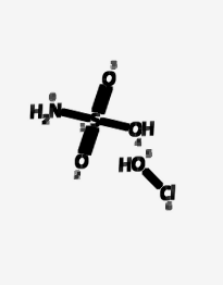 NS(=O)(=O)O.OCl